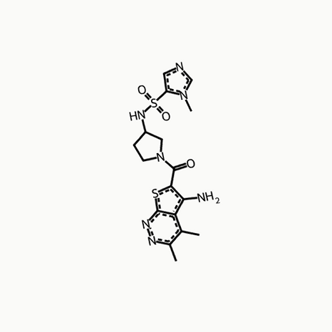 Cc1nnc2sc(C(=O)N3CCC(NS(=O)(=O)c4cncn4C)C3)c(N)c2c1C